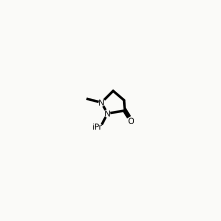 CC(C)N1C(=O)CCN1C